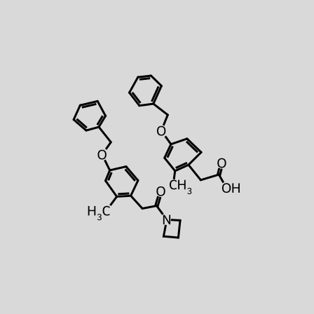 Cc1cc(OCc2ccccc2)ccc1CC(=O)N1CCC1.Cc1cc(OCc2ccccc2)ccc1CC(=O)O